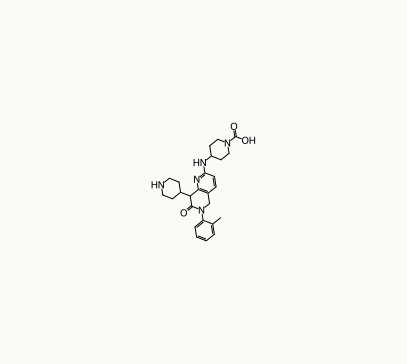 Cc1ccccc1N1Cc2ccc(NC3CCN(C(=O)O)CC3)nc2C(C2CCNCC2)C1=O